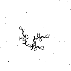 CCC(COCC(C)CNC(=O)CCCl)(COCC(C)CNC(=O)CCCl)NC(=O)CCCl